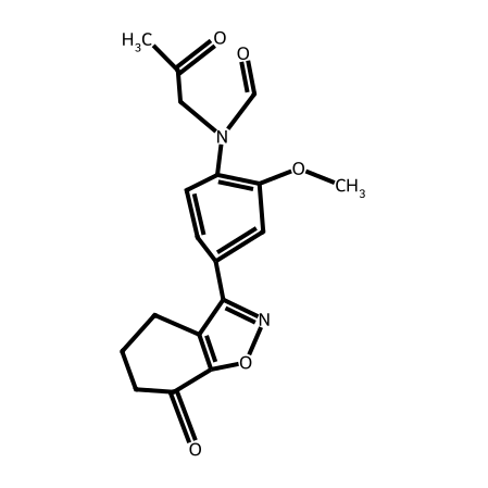 COc1cc(-c2noc3c2CCCC3=O)ccc1N(C=O)CC(C)=O